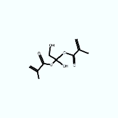 C=C(C)C(=O)OC(O)(CO)OC(=O)C(=C)C